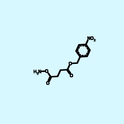 NOC(=O)CCC(=O)OCc1ccc([N+](=O)[O-])cc1